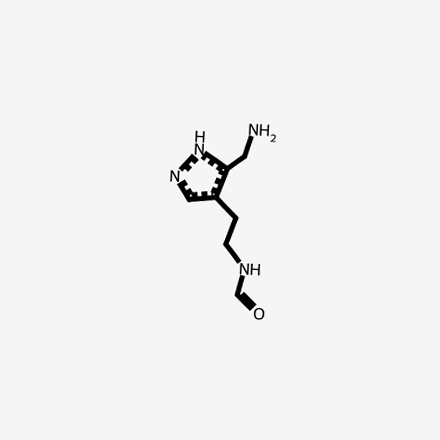 NCc1[nH]ncc1CCNC=O